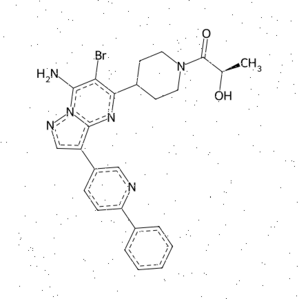 C[C@@H](O)C(=O)N1CCC(c2nc3c(-c4ccc(-c5ccccc5)nc4)cnn3c(N)c2Br)CC1